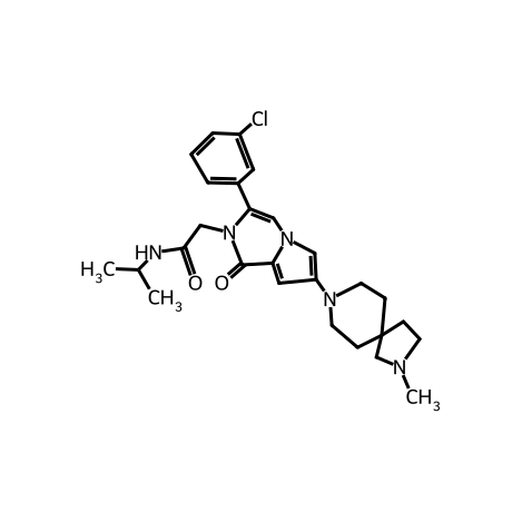 CC(C)NC(=O)Cn1c(-c2cccc(Cl)c2)cn2cc(N3CCC4(CCN(C)C4)CC3)cc2c1=O